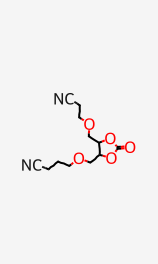 N#CCCCOCC1OC(=O)OC1COCCC#N